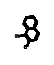 C[CH]c1c(Cl)ccc2ccccc12